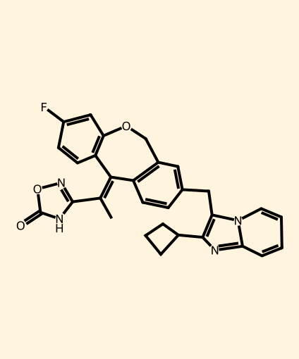 CC(=C1c2ccc(Cc3c(C4CCC4)nc4ccccn34)cc2COc2cc(F)ccc21)c1noc(=O)[nH]1